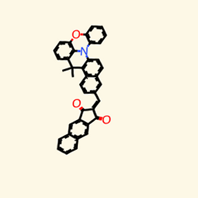 CC1(C)c2cccc3c2N(c2ccccc2O3)c2ccc3cc(C=C4C(=O)c5cc6ccccc6cc5C4=O)ccc3c21